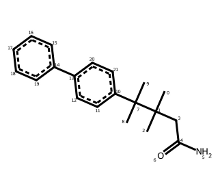 CC(C)(CC(N)=O)C(C)(C)c1ccc(-c2ccccc2)cc1